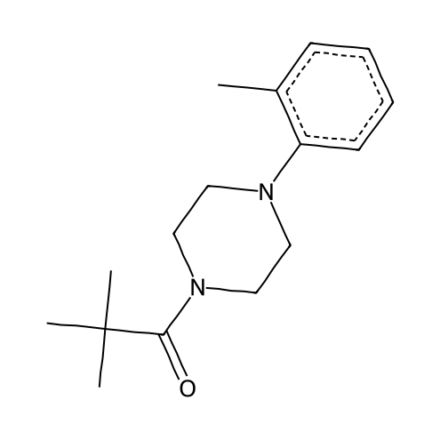 Cc1ccccc1N1CCN(C(=O)C(C)(C)C)CC1